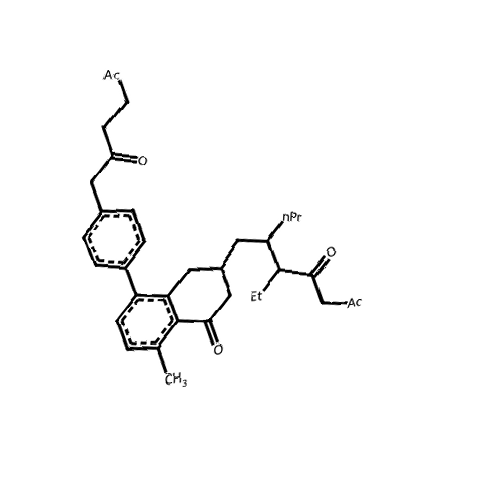 CCCC(CC1CC(=O)c2c(C)ccc(-c3ccc(CC(=O)CCC(C)=O)cc3)c2C1)C(CC)C(=O)CC(C)=O